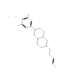 CC=CCCC1CCC2CC(c3cc(F)c(OC(F)(F)F)c(F)c3)CCC2C1